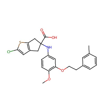 COc1ccc(NC2(C(=O)O)Cc3cc(Cl)sc3C2)cc1OCCc1cccc(C)c1